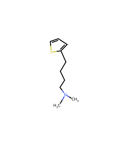 CN(C)CCCCc1cccs1